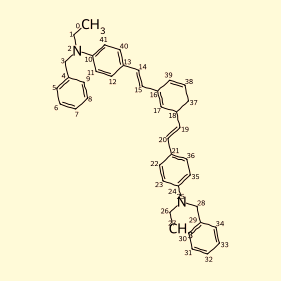 CCN(Cc1ccccc1)c1ccc(C=CC2=CC(C=Cc3ccc(N(CC)Cc4ccccc4)cc3)CC=C2)cc1